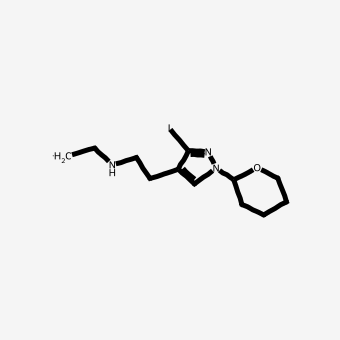 [CH2]CNCCc1cn(C2CCCCO2)nc1I